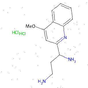 COc1cc(C(N)CCN)nc2ccccc12.Cl.Cl